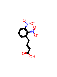 O=C(O)/C=C/Cc1cccc([N+](=O)[O-])c1[N+](=O)[O-]